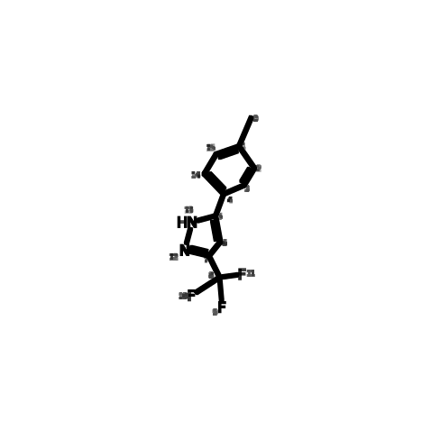 Cc1ccc(-c2cc(C(F)(F)F)n[nH]2)cc1